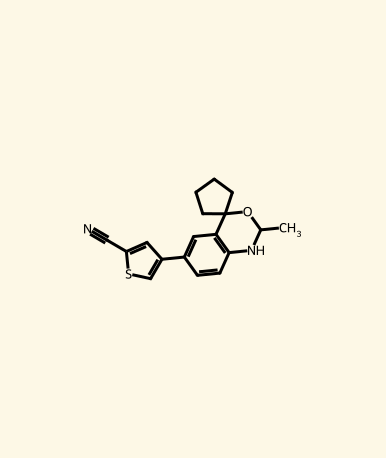 CC1Nc2ccc(-c3csc(C#N)c3)cc2C2(CCCC2)O1